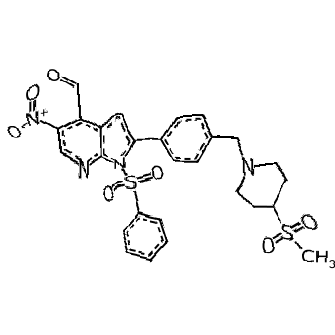 CS(=O)(=O)C1CCN(Cc2ccc(-c3cc4c(C=O)c([N+](=O)[O-])cnc4n3S(=O)(=O)c3ccccc3)cc2)CC1